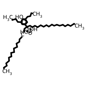 CCCCCCCCCCCCCCCCCCC(CCCCCCCCCCCCCCCCCC)(c1cc(CCCC)c(O)c(CCCC)c1)P(=O)(O)O